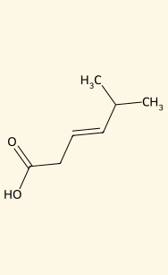 CC(C)/C=C/CC(=O)O